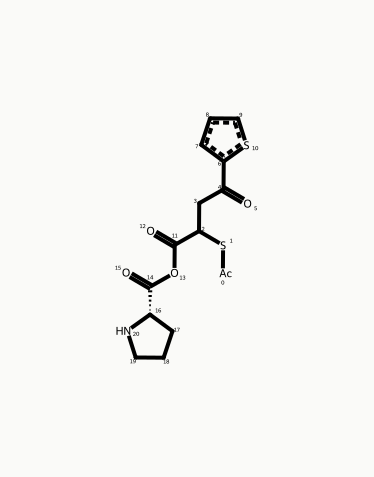 CC(=O)SC(CC(=O)c1cccs1)C(=O)OC(=O)[C@@H]1CCCN1